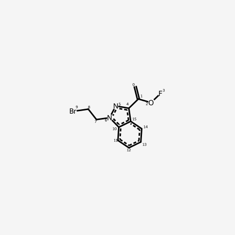 C=C(OF)c1nn(CCBr)c2ccccc12